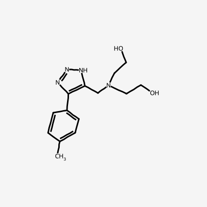 Cc1ccc(-c2nn[nH]c2CN(CCO)CCO)cc1